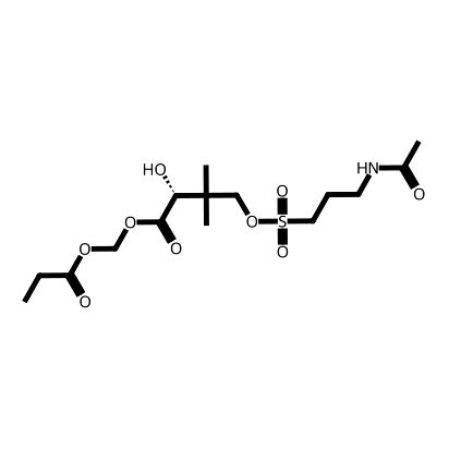 CCC(=O)OCOC(=O)[C@H](O)C(C)(C)COS(=O)(=O)CCCNC(C)=O